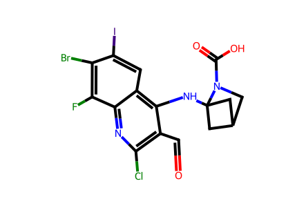 O=Cc1c(Cl)nc2c(F)c(Br)c(I)cc2c1NC12CC(CN1C(=O)O)C2